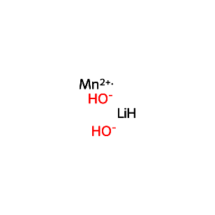 [LiH].[Mn+2].[OH-].[OH-]